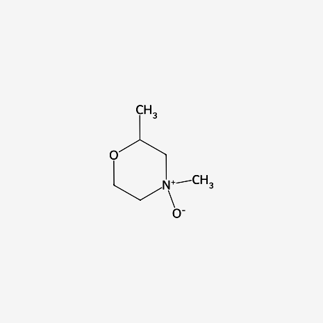 CC1C[N+](C)([O-])CCO1